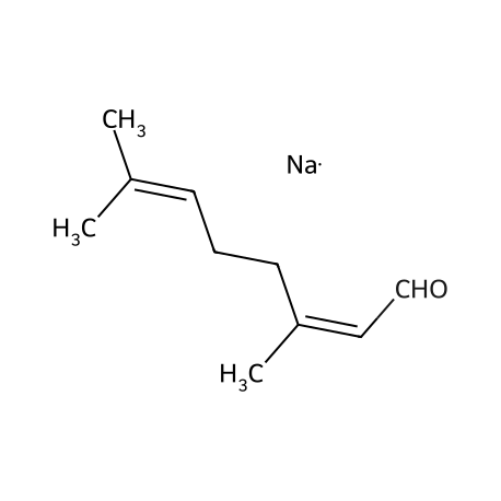 CC(C)=CCCC(C)=CC=O.[Na]